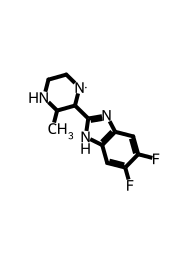 CC1NCC[N]C1c1nc2cc(F)c(F)cc2[nH]1